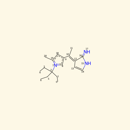 CCC(CC)(CC)n1cc(/C(C)=C2\C=CNC2=N)cc1C